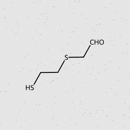 O=CCSCCS